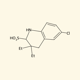 CCC1(CC)Cc2cc(Cl)ccc2NC1S(=O)(=O)O